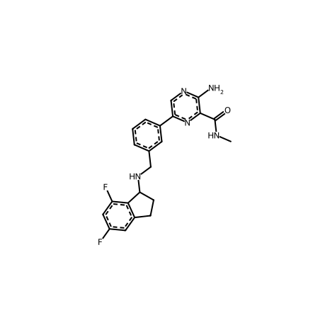 CNC(=O)c1nc(-c2cccc(CNC3CCc4cc(F)cc(F)c43)c2)cnc1N